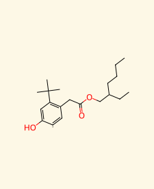 CCCCC(CC)COC(=O)Cc1c[c]c(O)cc1C(C)(C)C